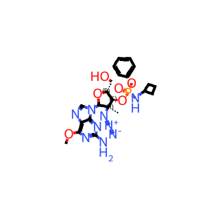 COc1nc(N)nc2c1ncn2C1O[C@H](CO)[C@@H](OP(=O)(NC2CCC2)Oc2ccccc2)[C@@]1(C)N=[N+]=[N-]